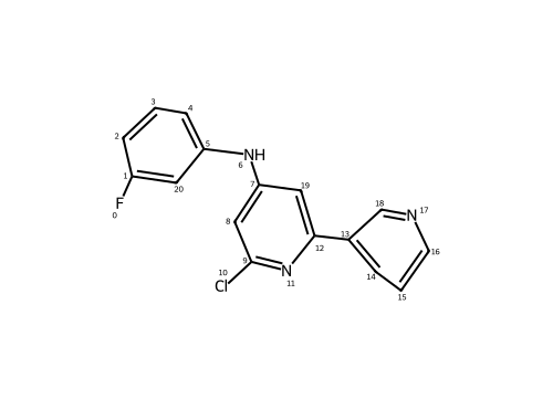 Fc1cccc(Nc2cc(Cl)nc(-c3cccnc3)c2)c1